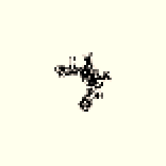 COc1c(OCC(O)CN2CCOCC2)cc2oc3cc(OCC(O)CN4CCOCC4)c(CC=C(C)C)c(O)c3c(=O)c2c1CC=C(C)C